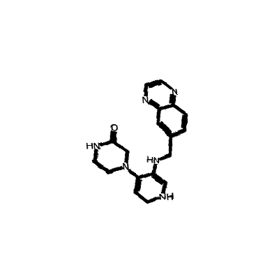 O=C1CN(C2=CCNC=C2NCc2ccc3nccnc3c2)CCN1